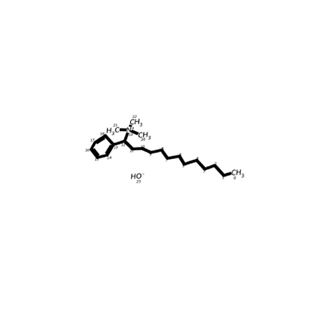 CCCCCCCCCCCCC(c1ccccc1)[N+](C)(C)C.[OH-]